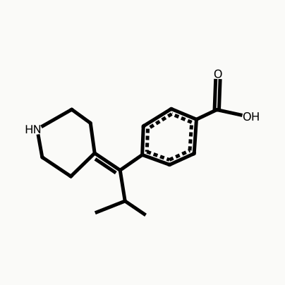 CC(C)C(=C1CCNCC1)c1ccc(C(=O)O)cc1